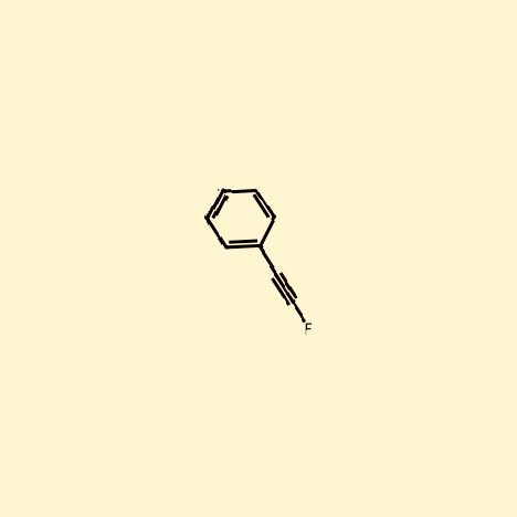 FC#Cc1cc[c]cc1